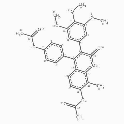 COc1cc(-c2c(-c3ccc(OC(C)=O)cc3)c3ccc(OC(C)=O)c(C)c3oc2=O)cc(OC)c1OC